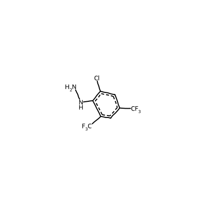 NNc1c(Cl)cc(C(F)(F)F)cc1C(F)(F)F